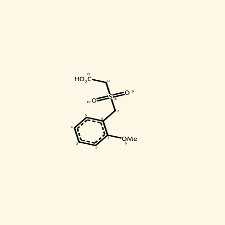 COc1ccccc1CS(=O)(=O)CC(=O)O